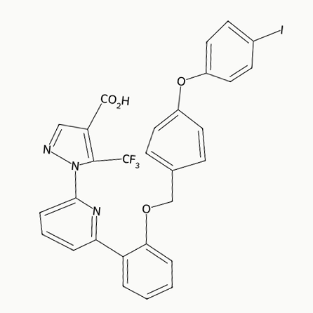 O=C(O)c1cnn(-c2cccc(-c3ccccc3OCc3ccc(Oc4ccc(I)cc4)cc3)n2)c1C(F)(F)F